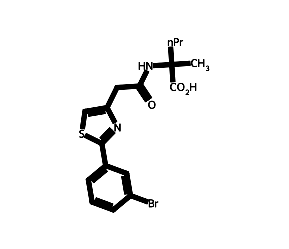 CCCC(C)(NC(=O)Cc1csc(-c2cccc(Br)c2)n1)C(=O)O